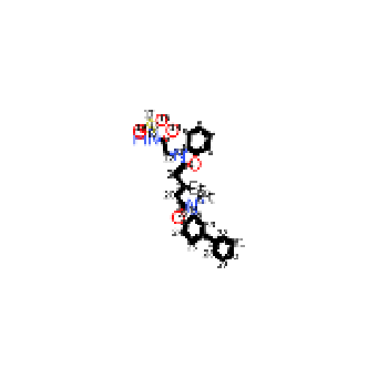 CCC(/C=C1\Oc2ccccc2N1CC(=O)NS(C)(=O)=O)=C\c1oc2ccc(-c3ccccc3)cc2[n+]1CC